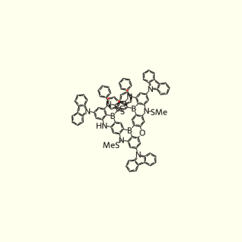 CSN1c2cc3c(cc2B2c4cc5c(cc4Oc4cc(-n6c7ccccc7c7ccccc76)cc1c42)N(SC)c1cc(-n2c4ccccc4c4ccccc42)cc2c1B5c1sc4ccccc4c1N2c1ccccc1)B1c2sc4ccccc4c2N(c2ccccc2)c2cc(-n4c5ccccc5c5ccccc54)cc(c21)N3